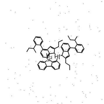 CCCC1=Cc2c(-c3ccccc3C(C)CC)cccc2[CH]1[Hf]([c]1cccc2c1[SiH2]c1ccccc1-2)[CH]1C(CCC)=Cc2c(-c3ccccc3C(C)CC)cccc21